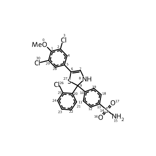 COc1c(Cl)cc(C2=CNC(c3ccc(S(N)(=O)=O)cc3)(c3ccccc3Cl)S2)cc1Cl